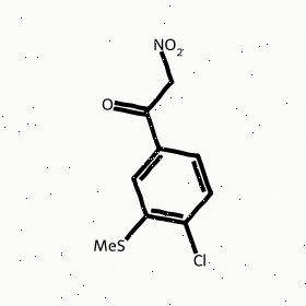 CSc1cc(C(=O)C[N+](=O)[O-])ccc1Cl